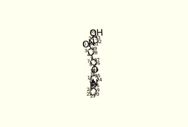 O=C(c1ccc(-c2ccc(OCC3CCN(CC4(F)CCCCC4)CC3)cc2)cc1)N1CCC[C@@H](O)C1